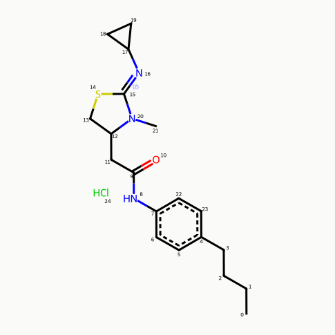 CCCCc1ccc(NC(=O)CC2CS/C(=N\C3CC3)N2C)cc1.Cl